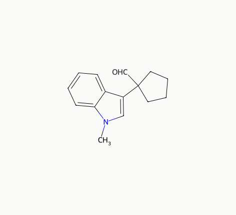 Cn1cc(C2(C=O)CCCC2)c2ccccc21